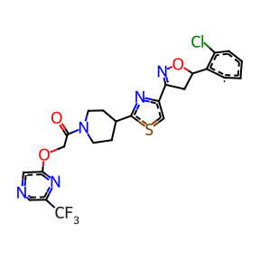 O=C(COc1cncc(C(F)(F)F)n1)N1CCC(c2nc(C3=NOC(c4[c]cccc4Cl)C3)cs2)CC1